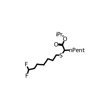 CCCCCC(SCCCCCCC(F)F)C(=O)OC(C)C